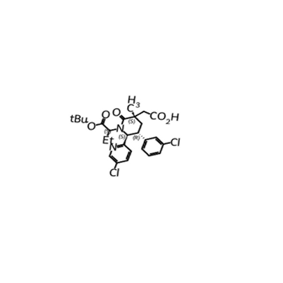 CC[C@@H](C(=O)OC(C)(C)C)N1C(=O)[C@](C)(CC(=O)O)C[C@H](c2cccc(Cl)c2)[C@H]1c1ccc(Cl)cn1